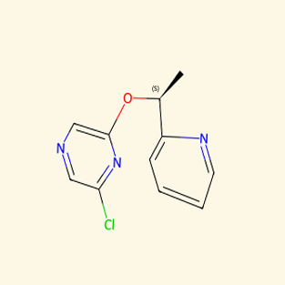 C[C@H](Oc1cncc(Cl)n1)c1ccccn1